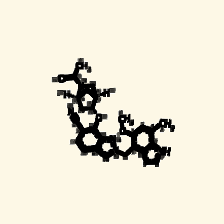 COc1cc(C)c2[nH]ccc2c1Cn1cc2ccc(C#N)c(O[C@@H]3C[C@@H]4C[C@H]3CN4C(C)=O)c2n1